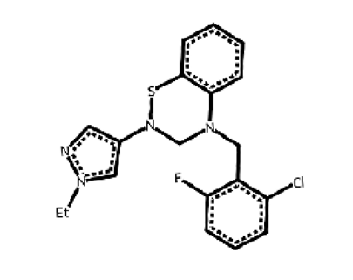 CCn1cc(N2CN(Cc3c(F)cccc3Cl)c3ccccc3S2)cn1